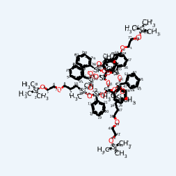 C[Si](C)(C)OCCOCCC[Si](C)(C)O[Si]1(c2ccccc2)O[Si]2(c3ccccc3)O[Si](O[Si](C)(C)CCCOCCO[Si](C)(C)C)(c3ccccc3)O[Si]3(c4ccccc4)O[Si](O[Si](C)(C)CCCOCCO[Si](C)(C)C)(c4ccccc4)O[Si](c4ccccc4)(O1)O[Si](c1ccccc1)(O2)O3